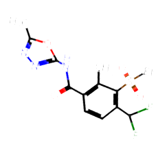 CCS(=O)(=O)c1c(C(F)F)ccc(C(=O)Nc2nnc(C)o2)c1C